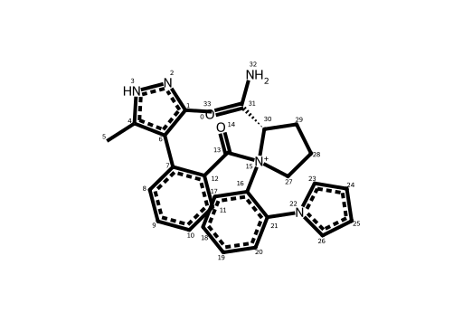 Cc1n[nH]c(C)c1-c1ccccc1C(=O)[N+]1(c2ccccc2-n2cccc2)CCC[C@H]1C(N)=O